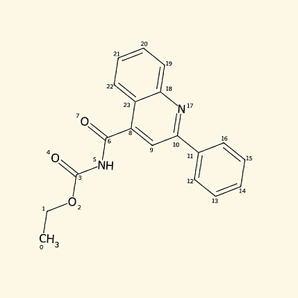 CCOC(=O)NC(=O)c1cc(-c2ccccc2)nc2ccccc12